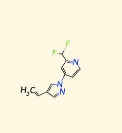 C=Cc1cnn(-c2ccnc(C(F)F)c2)c1